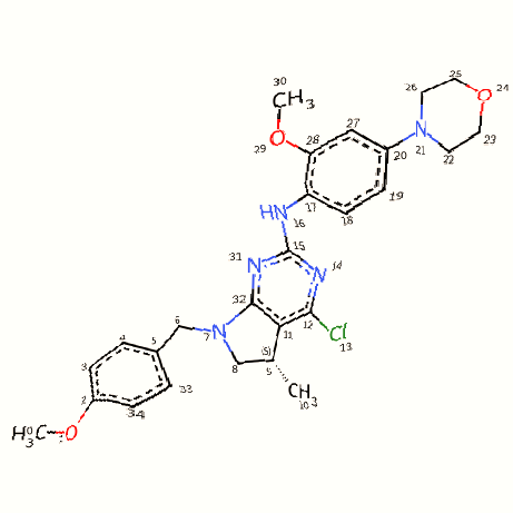 COc1ccc(CN2C[C@@H](C)c3c(Cl)nc(Nc4ccc(N5CCOCC5)cc4OC)nc32)cc1